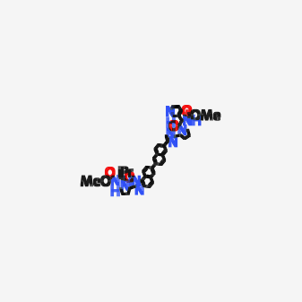 COC(=O)NC(C(=O)N1CCCC1c1nc(-c2ccc3cc(-c4ccc5c(ccc6nc(C7CCCN7C(=O)C(NC(=O)OC)C(C)C)[nH]c65)c4)ccc3c2)c[nH]1)c1cccnc1